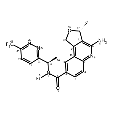 CCN(C(=O)c1ccc2nc(N)c3c(c2c1)CO[C@@H]3C)[C@H](C)c1ccc(C(F)(F)F)nn1